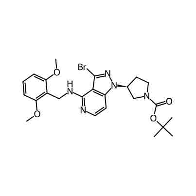 COc1cccc(OC)c1CNc1nccc2c1c(Br)nn2[C@H]1CCN(C(=O)OC(C)(C)C)C1